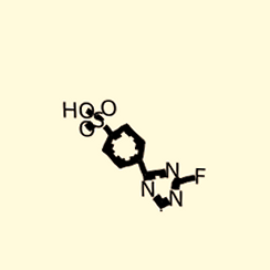 O=S(=O)(O)c1ccc(-c2n[c]nc(F)n2)cc1